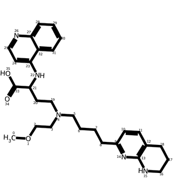 COCCN(CCCCc1ccc2c(n1)NCCC2)CCC(Nc1ccnc2ccccc12)C(=O)O